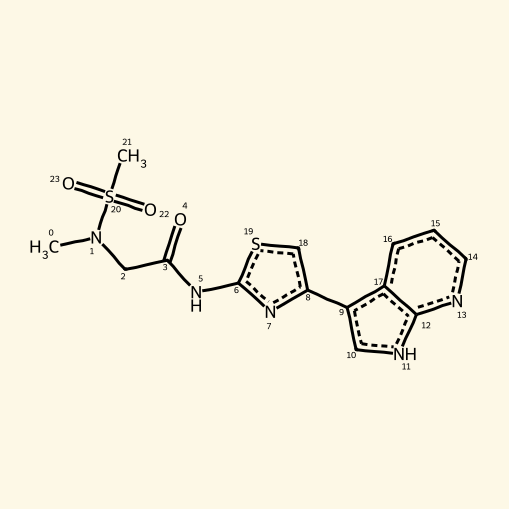 CN(CC(=O)Nc1nc(-c2c[nH]c3ncccc23)cs1)S(C)(=O)=O